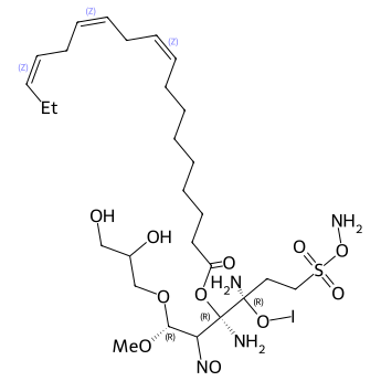 CC/C=C\C/C=C\C/C=C\CCCCCCCC(=O)O[C@](N)(C(N=O)[C@H](OC)OCC(O)CO)[C@@](N)(CCS(=O)(=O)ON)OI